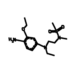 CCOc1cc(N(CC)CCN(C)S(C)(=O)=O)ccc1N